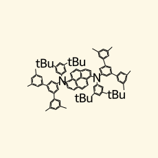 Cc1cc(C)cc(-c2cc(-c3cc(C)cc(C)c3)cc(N(c3cc(C(C)(C)C)cc(C(C)(C)C)c3)c3ccc4ccc5c(N(c6cc(-c7cc(C)cc(C)c7)cc(-c7cc(C)cc(C)c7)c6)c6cc(C(C)(C)C)cc(C(C)(C)C)c6)ccc6ccc3c4c65)c2)c1